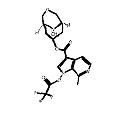 CN1[C@@H]2COC[C@H]1CC(OC(=O)c1cn(OC(=O)C(F)(F)F)c3c(F)nccc13)C2